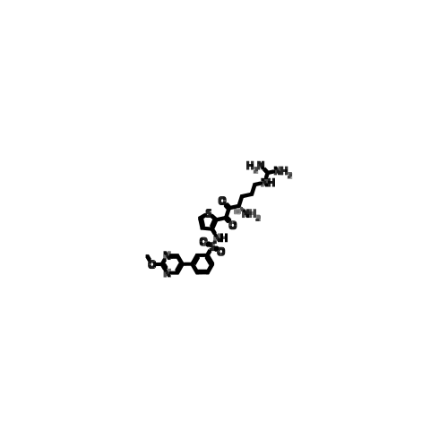 COc1ncc(-c2cccc(S(=O)(=O)Nc3ccsc3C(=O)C(=O)[C@@H](N)CCCNC(N)N)c2)cn1